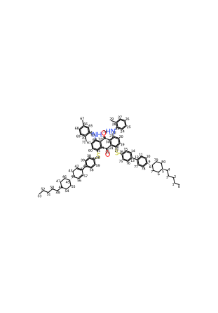 CCCCC[C@H]1CC[C@H](c2ccc(-c3ccc(Sc4ccc(Nc5ccccc5C)c5c4C(=O)c4c(Sc6ccc(C7=CCC([C@H]8CC[C@H](CCCCC)CC8)C=C7)cc6)ccc(Nc6cc(C)ccc6C)c4C5=O)cc3)cc2)CC1